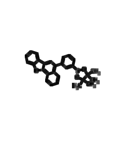 CC1(C)OB(c2cccc(-c3cc4c5ccccc5oc4c4ccccc34)c2)OC1(C)C